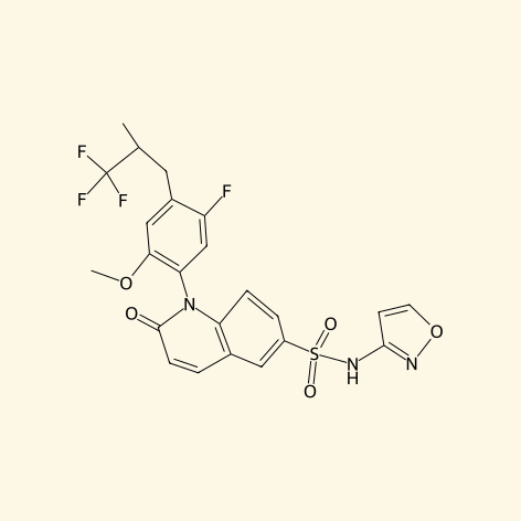 COc1cc(CC(C)C(F)(F)F)c(F)cc1-n1c(=O)ccc2cc(S(=O)(=O)Nc3ccon3)ccc21